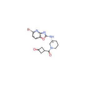 O=C1CC(C(=O)N2CCC[C@@H](Nc3nc4nc(Br)ccc4o3)C2)C1